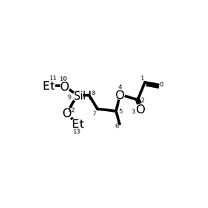 C=CC(=O)OC(C)CC[SiH](OCC)OCC